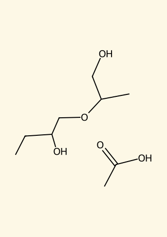 CC(=O)O.CCC(O)COC(C)CO